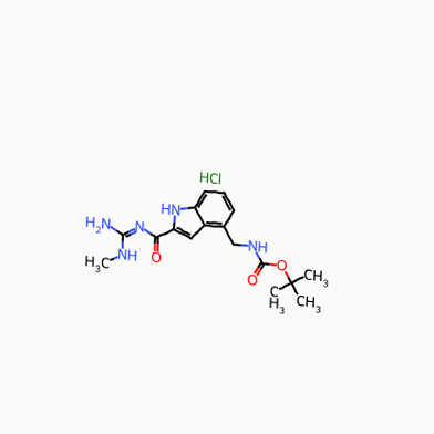 CNC(N)=NC(=O)c1cc2c(CNC(=O)OC(C)(C)C)cccc2[nH]1.Cl